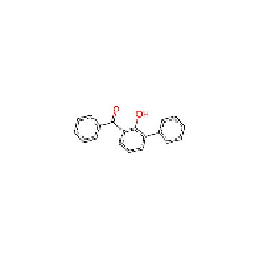 O=C(c1ccccc1)c1cccc(-c2ccccc2)c1O